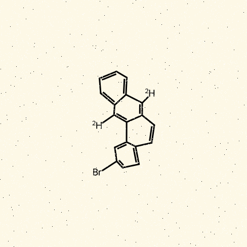 [2H]c1c2ccccc2c([2H])c2c1ccc1ccc(Br)cc12